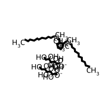 CCCCCCCCCCCC[N+](C)(C)Cc1ccccc1C[N+](C)(C)CCCCCCCCCCCC.O=C([O-])[C@H](O)[C@@H](O)[C@H](O)[C@H](O)CO.O=C([O-])[C@H](O)[C@@H](O)[C@H](O)[C@H](O)CO